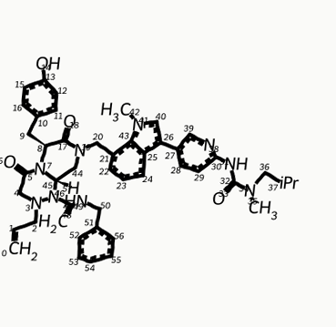 C=CCN1CC(=O)N2[C@@H](Cc3ccc(O)cc3)C(=O)N(Cc3cccc4c(-c5ccc(NC(=O)N(C)CC(C)C)nc5)cn(C)c34)C[C@@H]2N1C(=C)NCc1ccccc1